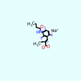 CCCC(=O)Nc1c(I)cc(I)c(/C=C(\CC)C(=O)[O-])c1I.[Na+]